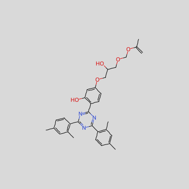 C=C(C)OCOCC(O)COc1ccc(-c2nc(-c3ccc(C)cc3C)nc(-c3ccc(C)cc3C)n2)c(O)c1